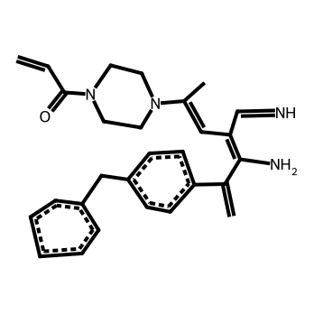 C=CC(=O)N1CCN(/C(C)=C/C(C=N)=C(/N)C(=C)c2ccc(Cc3ccccc3)cc2)CC1